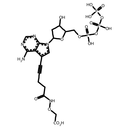 Nc1ncnc2c1c(C#CCCC(=O)NOCC(=O)O)cn2C1CC(O)C(COP(=O)(O)OP(=O)(O)OP(=O)(O)O)O1